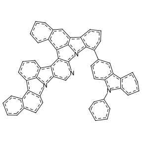 c1ccc(-n2c3ccccc3c3cc(-c4cccc5c6cc7ccccc7c7c8c9c%10cccc%11c%12c%13ccccc%13ccc%12n(c9cnc8n(c45)c67)c%11%10)ccc32)cc1